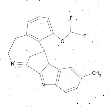 Cc1ccc2c(c1)C1C(=N2)/C2=N/CCc3cccc(OC(F)F)c3C1C2